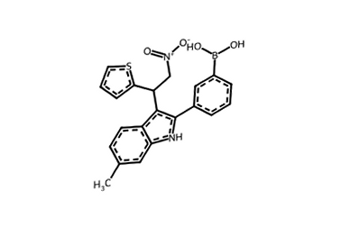 Cc1ccc2c(C(C[N+](=O)[O-])c3cccs3)c(-c3cccc(B(O)O)c3)[nH]c2c1